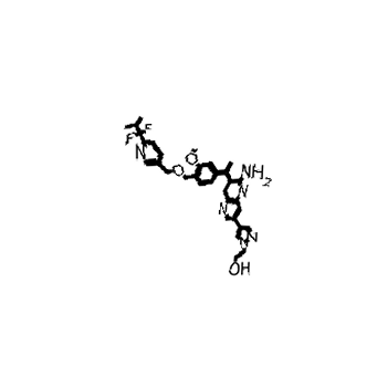 C=C(C)C(F)(F)c1ccc(COCc2ccc(C(C)C3Cc4ncc(-c5cnn(CCO)c5)cc4N=C3N)cc2OC)cn1